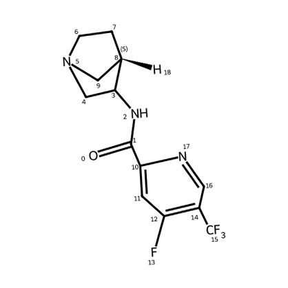 O=C(NC1CN2CC[C@H]1C2)c1cc(F)c(C(F)(F)F)cn1